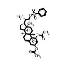 CC(=O)O[C@@H]1CC2=CC[C@H]3[C@@H]4CC[C@H]([C@H](C)COS(=O)(=O)c5ccccc5)[C@@]4(C)CC[C@@H]3[C@@]2(C)[C@@H](OC(C)=O)C1